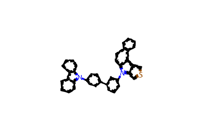 c1cc(-c2ccc(-n3c4ccccc4c4ccccc43)cc2)cc(-n2c3cscc3c3c4ccccc4ccc32)c1